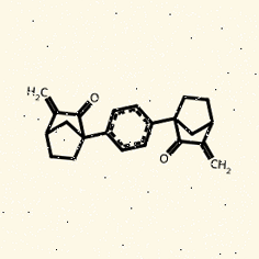 C=C1C(=O)C2(c3ccc(C45CCC(C4)C(=C)C5=O)cc3)CCC1C2